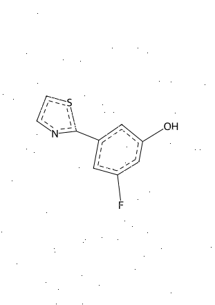 Oc1cc(F)cc(-c2nccs2)c1